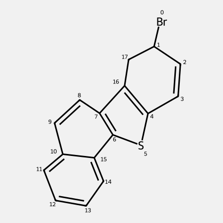 BrC1C=Cc2sc3c(ccc4ccccc43)c2C1